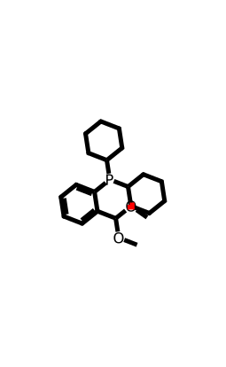 COC(OC)c1ccccc1P(C1CCCCC1)C1CCCCC1